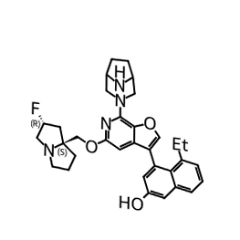 CCc1cccc2cc(O)cc(-c3coc4c(N5CC6CCC(C5)N6)nc(OC[C@@]56CCCN5C[C@H](F)C6)cc34)c12